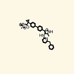 CC1NOC(c2ccc(-c3ccc(C4(C(=O)NS(C)(=O)=O)CC4)cc3)cc2)=C1Nc1cccc(Cc2ccccc2)n1